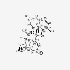 CC(=O)CCC(C)(C)C(=O)O[C@@H]1C[C@H](C)C=C2C=C[C@@H](C)[C@@H](CC[C@@H]3C[C@H](O)CC(=O)O3)[C@@H]21